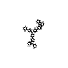 c1ccc(-c2ccc(N(c3ccc(-c4ccc5c(c4)c4ccccc4n5-c4ccccc4)cc3)c3ccc(-c4ccc5c6cccc7c8ccccc8n(c5c4)c76)cc3)cc2)cc1